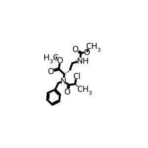 COC(=O)NCC[C@@H](C(=O)OC)N(Cc1ccccc1)C(=O)[C@@H](C)Cl